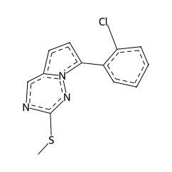 CSc1ncc2ccc(-c3ccccc3Cl)n2n1